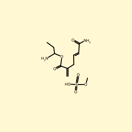 C=C(CC=CC(N)=O)C(=O)OC(N)CC.COS(=O)(=O)O